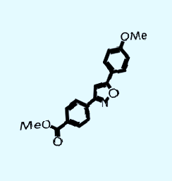 COC(=O)c1ccc(-c2cc(-c3ccc(OC)cc3)on2)cc1